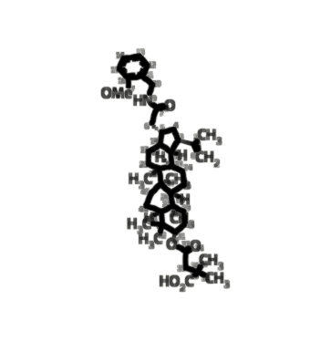 C=C(C)[C@@H]1C[C@@H](CC(=O)NCc2ccccc2OC)C2CC[C@]3(C)[C@H](CC[C@@H]4[C@@]5(C)CC[C@H](OC(=O)CC(C)(C)C(=O)O)C(C)(C)[C@@H]5CC[C@]43C)[C@H]21